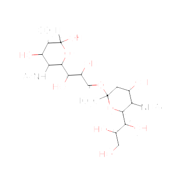 CC(=O)NC1C(O)CC(O)(C(=O)O)OC1C(O)C(O)COC1(C(=O)O)CC(O)C(NC(C)=O)C(C(O)C(O)CO)O1